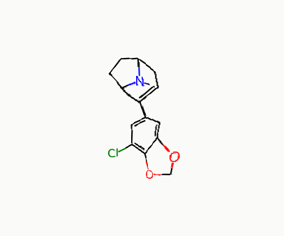 CN1C2CC=C(c3cc(Cl)c4c(c3)OCO4)C1CC2